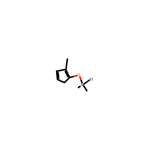 CC[Si](C)(C)OC1=C(C)C=CC1